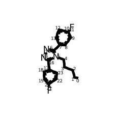 CCCCCn1c(-c2ccc(F)cc2)nnc1-c1ccc(F)cc1